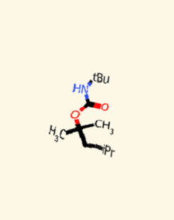 CC(C)CC(C)(C)OC(=O)NC(C)(C)C